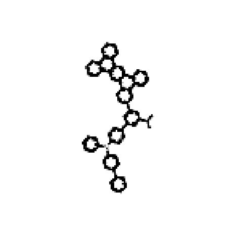 CC(C)c1cc(-c2ccc(N(c3ccccc3)c3ccc(-c4ccccc4)cc3)cc2)cc(-c2ccc3c(c2)c2ccccc2c2cc4c5ccccc5c5ccccc5c4cc32)c1